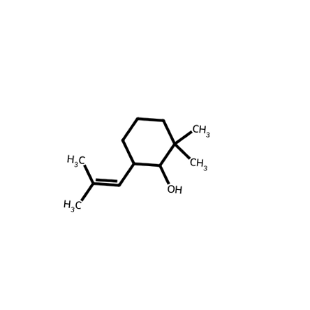 CC(C)=CC1CCCC(C)(C)C1O